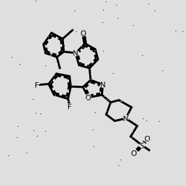 Cc1cccc(C)c1-n1cc(-c2nc(C3CCN(CCS(C)(=O)=O)CC3)oc2-c2ccc(F)cc2F)ccc1=O